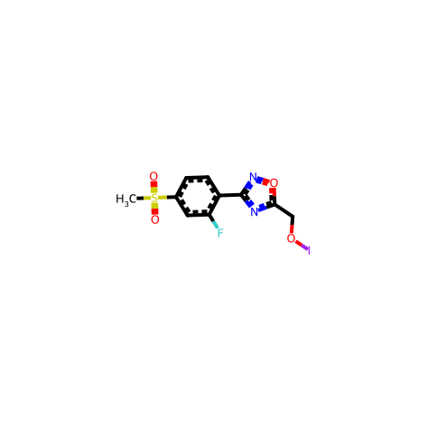 CS(=O)(=O)c1ccc(-c2noc(COI)n2)c(F)c1